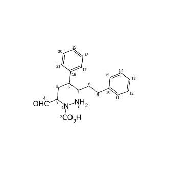 NN(C(=O)O)C(C=O)CC(CCCc1ccccc1)c1ccccc1